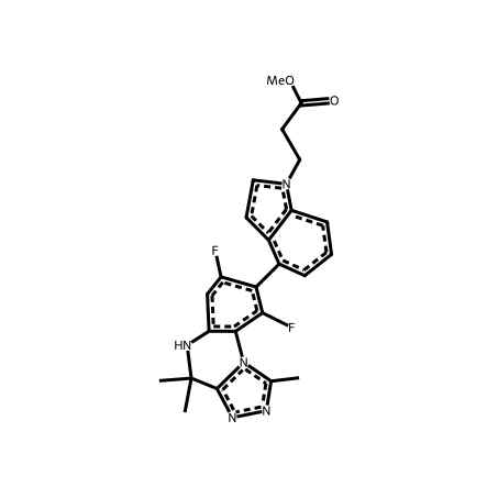 COC(=O)CCn1ccc2c(-c3c(F)cc4c(c3F)-n3c(C)nnc3C(C)(C)N4)cccc21